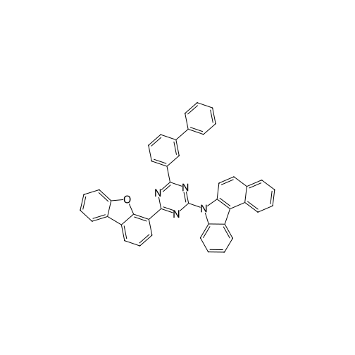 c1ccc(-c2cccc(-c3nc(-c4cccc5c4oc4ccccc45)nc(-n4c5ccccc5c5c6ccccc6ccc54)n3)c2)cc1